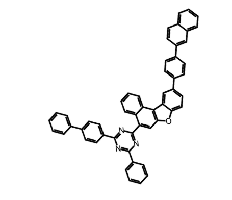 c1ccc(-c2ccc(-c3nc(-c4ccccc4)nc(-c4cc5oc6ccc(-c7ccc(-c8ccc9ccccc9c8)cc7)cc6c5c5ccccc45)n3)cc2)cc1